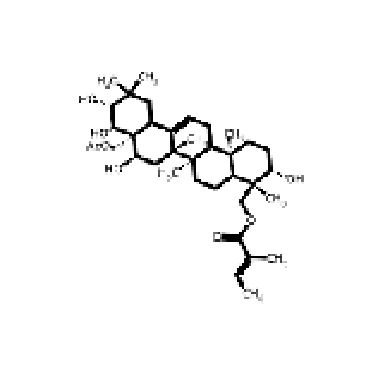 C/C=C(\C)C(=O)OC[C@]1(C)C2CC[C@]3(C)C(CC=C4C5CC(C)(C)[C@@H](O)[C@H](O)[C@]5(COC(C)=O)[C@H](O)C[C@]43C)[C@@]2(C)CC[C@@H]1O